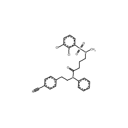 CN(CCCC(=O)N(CCc1ccc(C#N)cc1)c1ccccc1)S(=O)(=O)c1cccc(Cl)c1Cl